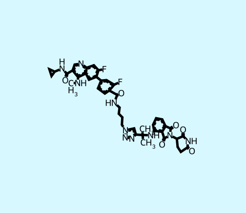 CNc1c(C(=O)NC2CC2)cnc2cc(F)c(-c3ccc(C(=O)NCCCCn4cc(C(C)(C)Nc5cccc6c5C(=O)N(C5CCC(=O)NC5=O)C6=O)nn4)c(F)c3)cc12